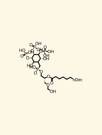 CCCCCCCCCCCCCCCC(=O)O[C@H](COCO)COP(=O)(O)CC1C(O)[C@H](OP(=O)(O)O)[C@H](OP(=O)(O)O)C(OP(=O)(O)O)[C@@H]1O